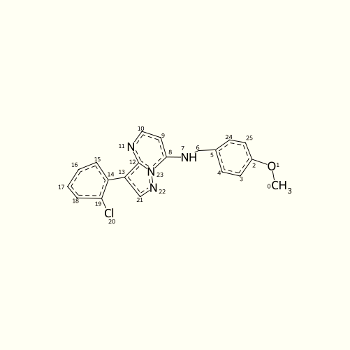 COc1ccc(CNc2ccnc3c(-c4ccccc4Cl)cnn23)cc1